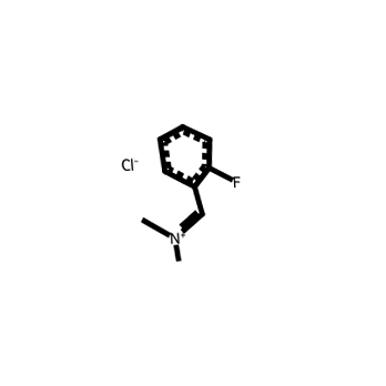 C[N+](C)=Cc1ccccc1F.[Cl-]